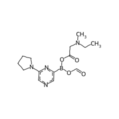 CCN(C)CC(=O)OB(OC=O)c1cncc(N2CCCC2)n1